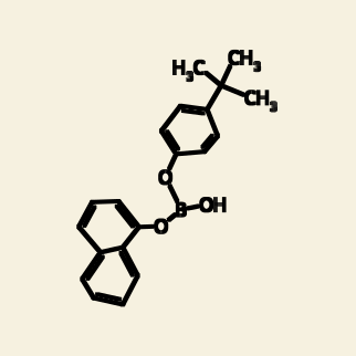 CC(C)(C)c1ccc(OB(O)Oc2cccc3ccccc23)cc1